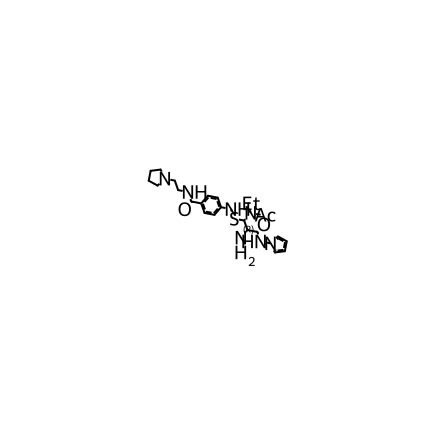 CCN(C(C)=O)C(SNc1ccc(C(=O)NCCN2CCCC2)cc1)[C@H](N)C(=O)Nn1cccc1